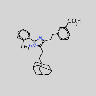 Cc1ccccc1-c1nc(CCc2cccc(C(=O)O)c2)c(CCC23CC4CC(CC(C4)C2)C3)[nH]1